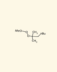 CCCCCC(C)(C)OOOC